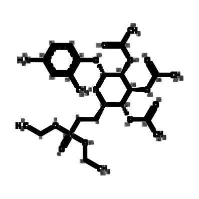 CCOP(=O)(CC[C@H]1O[C@H](Oc2ccc(N)cc2C)[C@@H](OC(C)=O)[C@@H](OC(C)=O)[C@@H]1OC(C)=O)OCC